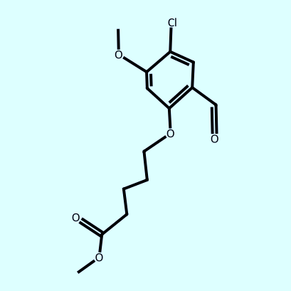 COC(=O)CCCCOc1cc(OC)c(Cl)cc1C=O